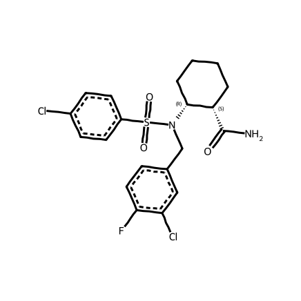 NC(=O)[C@H]1CCCC[C@H]1N(Cc1ccc(F)c(Cl)c1)S(=O)(=O)c1ccc(Cl)cc1